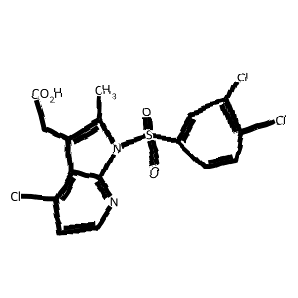 Cc1c(CC(=O)O)c2c(Cl)ccnc2n1S(=O)(=O)c1ccc(Cl)c(Cl)c1